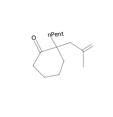 C=C(C)CC1(CCCCC)CCCCC1=O